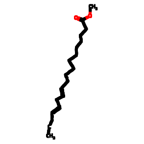 CCCC=CCC=CCCCCCCCCCC(=O)OC